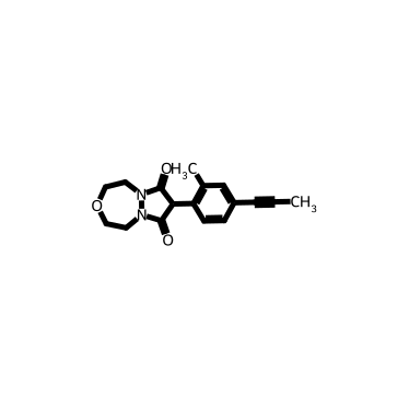 CC#Cc1ccc(C2C(=O)N3CCOCCN3C2=O)c(C)c1